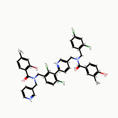 Cc1ccc(C(=O)N(Cc2cccnc2)Cc2ccc(Cl)c(-c3ccc(CN(Cc4ccc(Cl)cc4Cl)C(=O)c4ccc(O)c(C(C)(C)C)c4)cn3)c2Cl)c(Br)c1